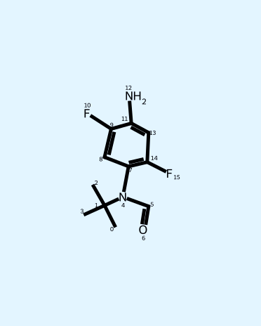 CC(C)(C)N(C=O)c1cc(F)c(N)cc1F